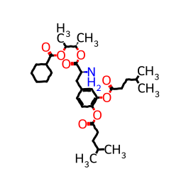 CC(C)CCC(=O)Oc1ccc(C[C@H](N)C(=O)O[C@@H](C)C(C)OC(=O)C2CCCCC2)cc1OC(=O)CCC(C)C